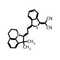 CC1(C)/C(=C/C=c2\sc(=C(C#N)C#N)c3ccccc23)N2CCCc3cccc1c32